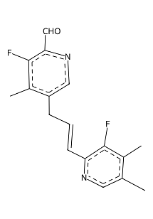 Cc1cnc(/C=C/Cc2cnc(C=O)c(F)c2C)c(F)c1C